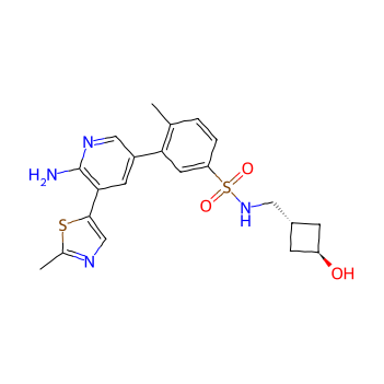 Cc1ncc(-c2cc(-c3cc(S(=O)(=O)NC[C@H]4C[C@H](O)C4)ccc3C)cnc2N)s1